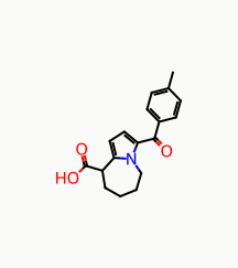 Cc1ccc(C(=O)c2ccc3n2CCCCC3C(=O)O)cc1